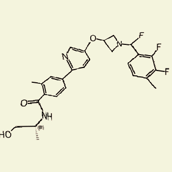 Cc1cc(-c2ccc(OC3CN(C(F)c4ccc(C)c(F)c4F)C3)cn2)ccc1C(=O)N[C@H](C)CO